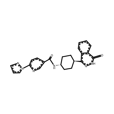 O=C(N[C@H]1CC[C@H](c2n[nH]c(=O)c3ccccc32)CC1)c1ccc(-n2cccn2)nc1